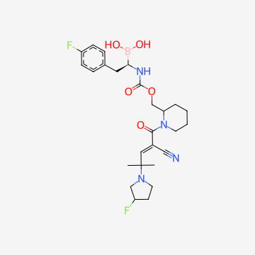 CC(C)(C=C(C#N)C(=O)N1CCCCC1COC(=O)N[C@@H](Cc1ccc(F)cc1)B(O)O)N1CCC(F)C1